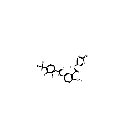 Cc1ccc(NC(=O)c2ccc(C(F)(F)F)c(F)c2F)cc1C(=O)Nc1cnc(N)nc1